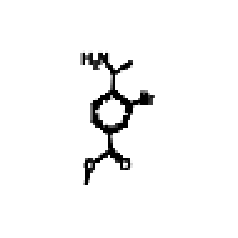 COC(=O)c1ccc([C@H](C)N)c(Br)c1